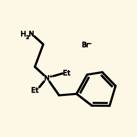 CC[N+](CC)(CCN)Cc1ccccc1.[Br-]